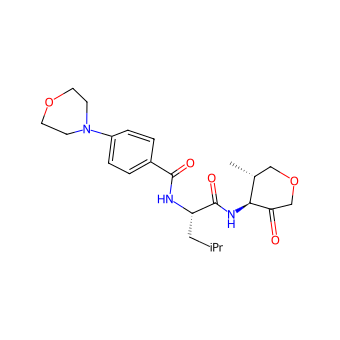 CC(C)C[C@H](NC(=O)c1ccc(N2CCOCC2)cc1)C(=O)N[C@@H]1C(=O)COC[C@H]1C